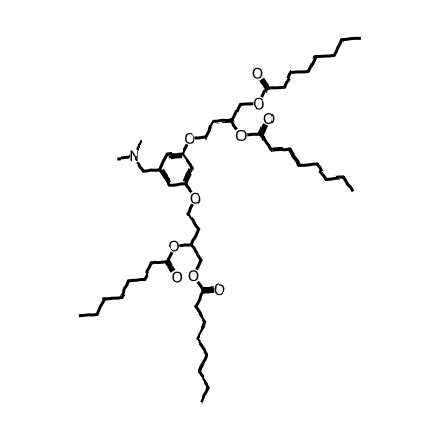 CCCCCCCC(=O)OCC(CCOc1cc(CN(C)C)cc(OCCC(COC(=O)CCCCCCC)OC(=O)CCCCCCC)c1)OC(=O)CCCCCCC